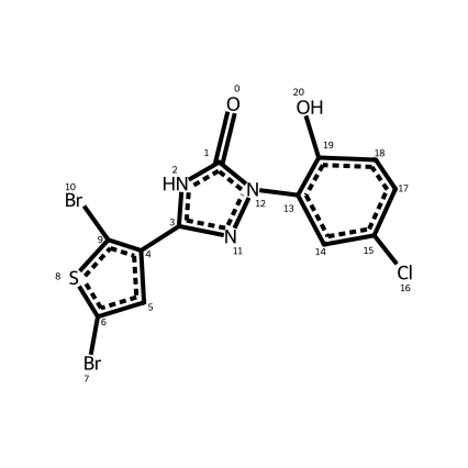 O=c1[nH]c(-c2cc(Br)sc2Br)nn1-c1cc(Cl)ccc1O